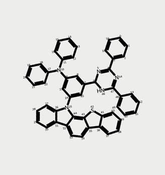 c1ccc(C2=NC(c3cc(N(c4ccccc4)c4ccccc4)cc(-n4c5ccccc5c5ccc6c7ccccc7sc6c54)c3)NC(c3ccccc3)=N2)cc1